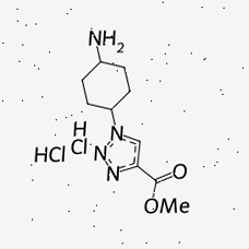 COC(=O)c1cn(C2CCC(N)CC2)nn1.Cl.Cl